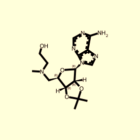 CN(CCO)C[C@H]1O[C@@H](n2cnc3c(N)ncnc32)[C@@H]2OC(C)(C)O[C@@H]21